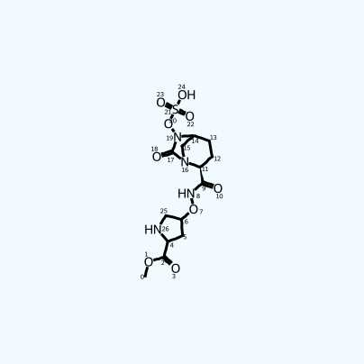 COC(=O)C1CC(ONC(=O)[C@@H]2CCC3CN2C(=O)N3OS(=O)(=O)O)CN1